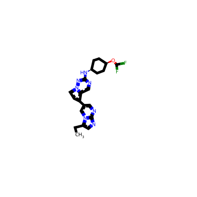 CCc1cnc2ncc(-c3ccn4nc(N[C@H]5CC[C@H](OC(F)F)CC5)ncc34)cn12